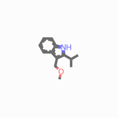 COCc1c(C(C)C)[nH]c2ccccc12